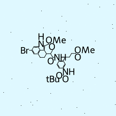 COC(=O)CCCc1cc(NC(=O)OC(C)(C)C)ccc1NC(=O)C(C)C1CCc2cc(Br)cc3[nH]c(C(=O)OC)c1c23